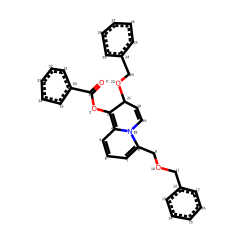 O=C(OC1=C2C=CC=C(COCc3ccccc3)N2C=CC1OCc1ccccc1)c1ccccc1